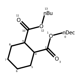 CCCCCCCCCCOC(=O)C1CCCCC1C(=O)OCCCC